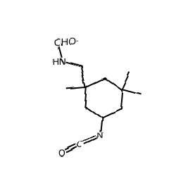 CC1(C)CC(N=C=O)CC(C)(CN[C]=O)C1